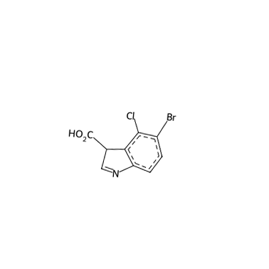 O=C(O)C1C=Nc2ccc(Br)c(Cl)c21